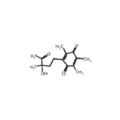 CC1=C(C)C(=O)C(CCC(C)(O)C(N)=O)=C(C)C1=O